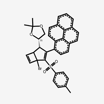 Cc1ccc(S(=O)(=O)C2=C(c3ccc4ccc5cccc6ccc3c4c56)C([C@H]3COC(C)(C)O3)C3C=CC23Br)cc1